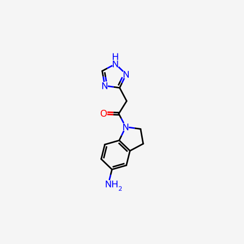 Nc1ccc2c(c1)CCN2C(=O)Cc1nc[nH]n1